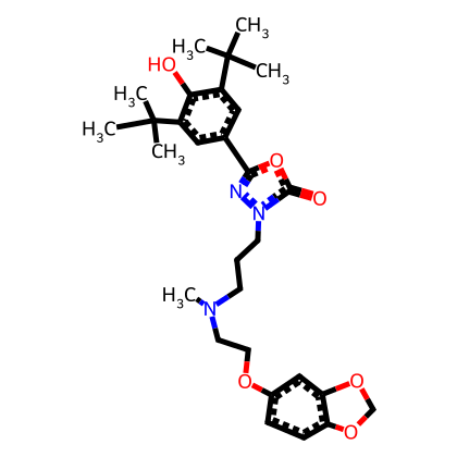 CN(CCCn1nc(-c2cc(C(C)(C)C)c(O)c(C(C)(C)C)c2)oc1=O)CCOc1ccc2c(c1)OCO2